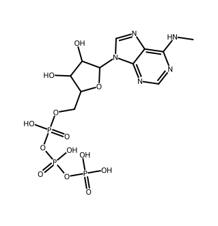 CNc1ncnc2c1ncn2C1OC(COP(=O)(O)OP(=O)(O)OP(=O)(O)O)C(O)C1O